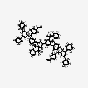 C=Cc1ccc(N(c2cc(-c3ccccc3)cc(-c3ccccc3)c2)c2ccc3c(c2)c2cc(-c4cc5c6c(c4)c4cc(N(c7ccc(C=C)cc7)c7cc(-c8ccccc8)cc(-c8ccccc8)c7)ccc4n6C4C=CC=CC4C5(C)C)cc4c2n3-c2ccccc2C4(C)C)cc1